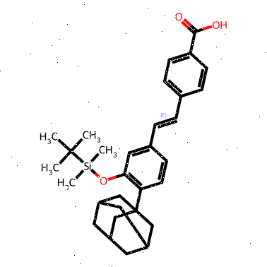 CC(C)(C)[Si](C)(C)Oc1cc(/C=C/c2ccc(C(=O)O)cc2)ccc1C12CC3CC(CC(C3)C1)C2